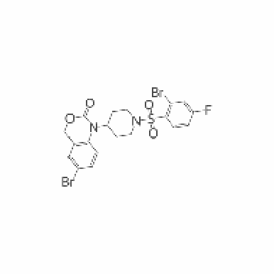 O=C1OCc2cc(Br)ccc2N1C1CCN(S(=O)(=O)c2ccc(F)cc2Br)CC1